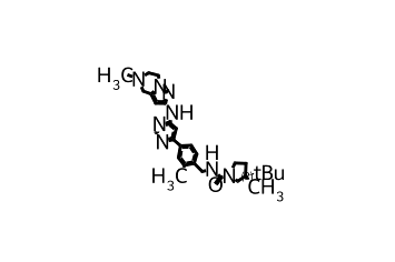 Cc1cc(-c2cc(Nc3cc4n(n3)CCN(C)C4)ncn2)ccc1CNC(=O)N1CC[C@](C)(C(C)(C)C)C1